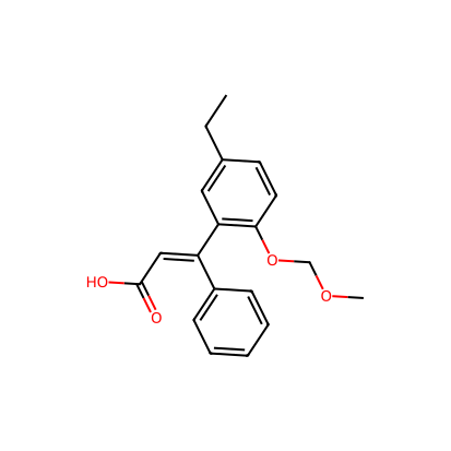 CCc1ccc(OCOC)c(C(=CC(=O)O)c2ccccc2)c1